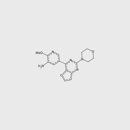 COc1ncc(-c2nc(N3CCOCC3)nc3ccoc23)cc1N